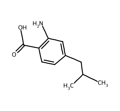 CC(C)Cc1ccc(C(=O)O)c(N)c1